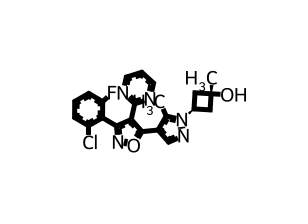 Cc1c(-c2onc(-c3c(F)cccc3Cl)c2-c2ncccn2)cnn1[C@H]1C[C@@](C)(O)C1